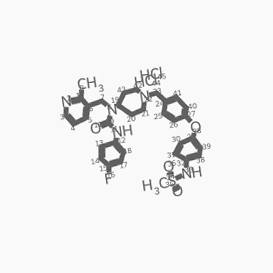 Cc1ncccc1CN(C(=O)Nc1ccc(F)cc1)C1CCN(Cc2ccc(Oc3ccc(NS(C)(=O)=O)cc3)cc2)CC1.Cl.Cl